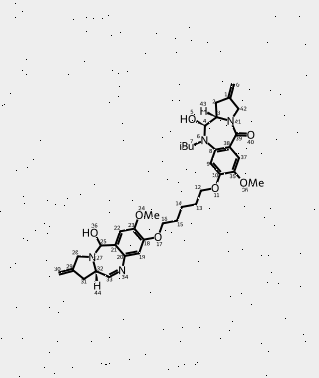 C=C1C[C@H]2[C@H](O)N(C(C)CC)c3cc(OCCCCCOc4cc5c(cc4OC)C(O)N4CC(=C)C[C@H]4C=N5)c(OC)cc3C(=O)N2C1